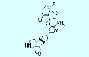 C[C@@H](Oc1cc(-c2cnn(C3CCNCC34CCOC4)c2)cnc1N)c1c(Cl)ccc(F)c1Cl